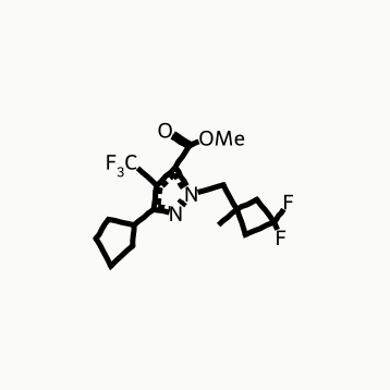 COC(=O)c1c(C(F)(F)F)c(C2CCCC2)nn1CC1(C)CC(F)(F)C1